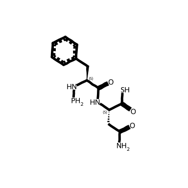 NC(=O)C[C@H](NC(=O)[C@H](Cc1ccccc1)NP)C(=O)S